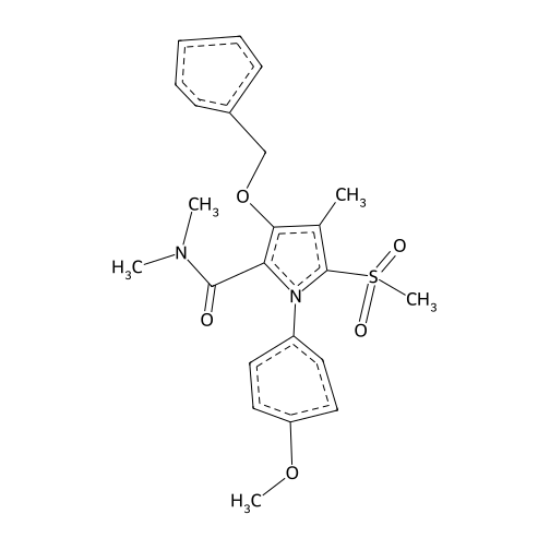 COc1ccc(-n2c(C(=O)N(C)C)c(OCc3ccccc3)c(C)c2S(C)(=O)=O)cc1